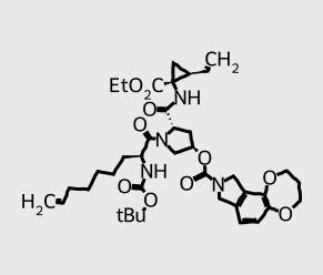 C=CCCCCC[C@H](NC(=O)OC(C)(C)C)C(=O)N1C[C@H](OC(=O)N2Cc3ccc4c(c3C2)OCCCO4)C[C@H]1C(=O)N[C@]1(C(=O)OCC)C[C@H]1C=C